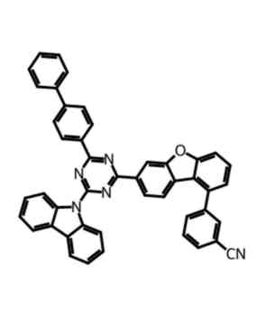 N#Cc1cccc(-c2cccc3oc4cc(-c5nc(-c6ccc(-c7ccccc7)cc6)nc(-n6c7ccccc7c7ccccc76)n5)ccc4c23)c1